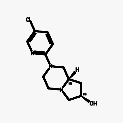 O[C@@H]1C[C@H]2CN(c3ccc(Cl)cn3)CCN2C1